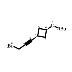 CC(C)(C)CC#C[C@H]1C[C@@H](OC(C)(C)C)C1